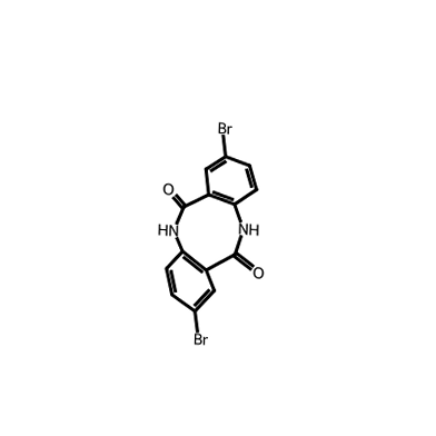 O=C1Nc2ccc(Br)cc2C(=O)Nc2ccc(Br)cc21